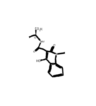 C[C@H](NC(=O)c1c(O)c2ccccc2n(C)c1=O)C(=O)O